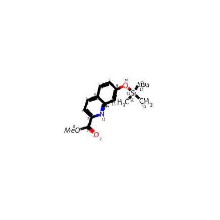 COC(=O)c1ccc2ccc(O[Si](C)(C)C(C)(C)C)cc2n1